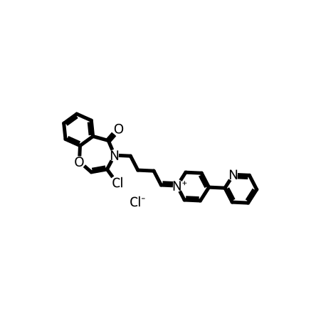 O=C1c2ccccc2OC=C(Cl)N1CCCC=[N+]1C=CC(c2ccccn2)=CC1.[Cl-]